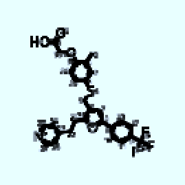 Cc1cc(SCc2cc(-c3ccc(C(F)(F)F)cc3)oc2CCc2ccncc2)ccc1OCC(=O)O